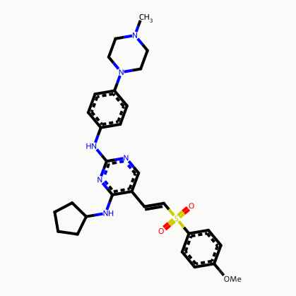 COc1ccc(S(=O)(=O)/C=C/c2cnc(Nc3ccc(N4CCN(C)CC4)cc3)nc2NC2CCCC2)cc1